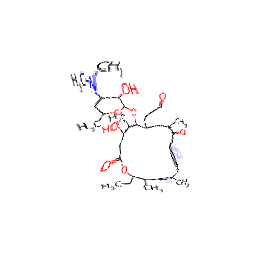 CCC1OC(=O)CC(O)C(C)C(OC2OC(C)CC(N(C)C)C2O)C(CC=O)CC(C)C(=O)/C=C\C(C)=C/C1C